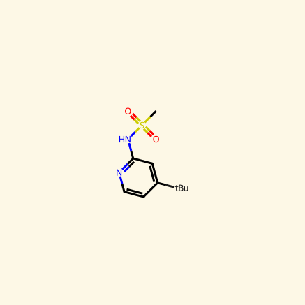 CC(C)(C)c1ccnc(NS(C)(=O)=O)c1